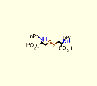 CCCNC(CSSC[C@H](NCCC)C(=O)O)C(=O)O